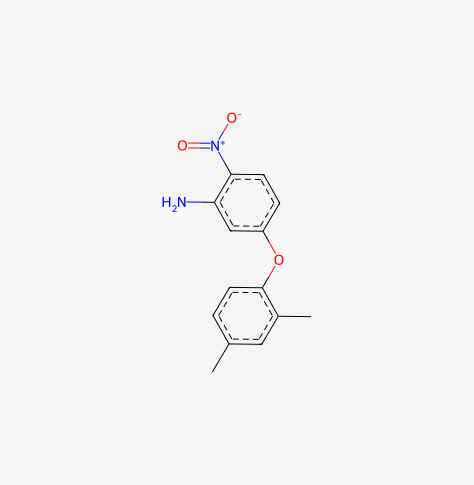 Cc1ccc(Oc2ccc([N+](=O)[O-])c(N)c2)c(C)c1